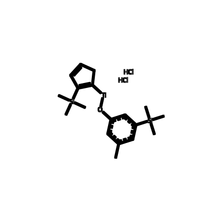 Cc1cc([O][Ti][C]2=C([Si](C)(C)C)C=CC2)cc([Si](C)(C)C)c1.Cl.Cl